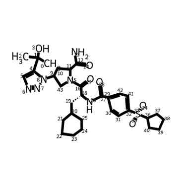 CC(C)(O)c1cnnn1C1CC(C(N)=O)N(C(=O)[C@@H](CC2CCCCC2)NC(=O)c2ccc(S(=O)(=O)C3CCCC3)cc2)C1